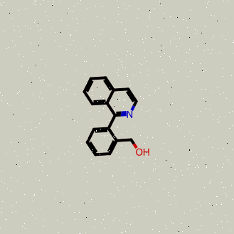 OCc1ccccc1-c1nccc2ccccc12